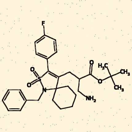 CC(C)(C)OC(=O)C(CN)CC1=C(c2ccc(F)cc2)S(=O)(=O)N(Cc2ccccc2)C12CCCCC2